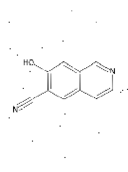 N#Cc1cc2ccncc2cc1O